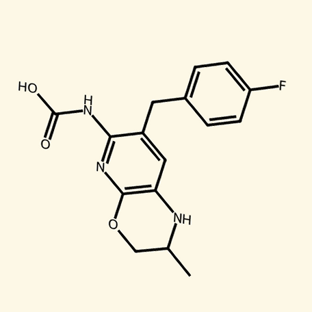 CC1COc2nc(NC(=O)O)c(Cc3ccc(F)cc3)cc2N1